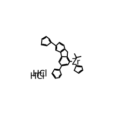 C[C](C)=[Zr]([C]1=CC=CC1)[c]1cc(-c2ccccc2)cc2c1Cc1ccc(-c3ccccc3)cc1-2.Cl.Cl